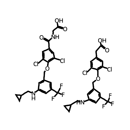 O=C(O)CNC(=O)c1cc(Cl)c(OCc2cc(NCC3CC3)cc(C(F)(F)F)c2)c(Cl)c1.O=C(O)Cc1cc(Cl)c(OCc2cc(NCC3CC3)cc(C(F)(F)F)c2)c(Cl)c1